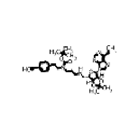 C#Cc1ccc(CCN(CCCNC[C@@H]2O[C@H](n3cnc4c(CC)ncnc43)[C@H]3OC(C)(C)O[C@H]32)C(=O)OC(C)(C)C)cc1